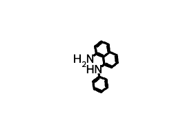 Nc1cccc2cccc(Nc3ccccc3)c12